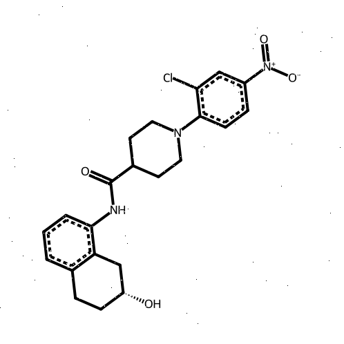 O=C(Nc1cccc2c1C[C@H](O)CC2)C1CCN(c2ccc([N+](=O)[O-])cc2Cl)CC1